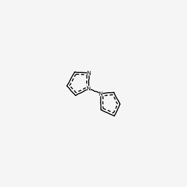 c1ccn(-n2cccn2)c1